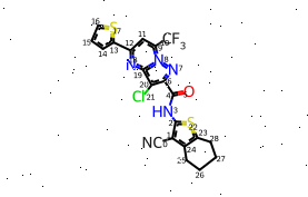 N#Cc1c(NC(=O)c2nn3c(C(F)(F)F)cc(-c4cccs4)nc3c2Cl)sc2c1CCCC2